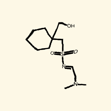 CN(C)/C=N/S(=O)(=O)CC1(CO)CCCCC1